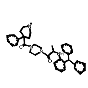 CC(Nc1ccccc1C(c1ccccc1)c1ccccc1)C(=O)N1CCN(C(=O)C2(c3ccccc3)CCN(C)CC2)CC1